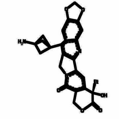 CC[C@@]1(O)C(=O)OCc2c1cc1n(c2=O)Cc2c-1nc1cc3c(cc1c2C12CC(N)(C1)C2)OCO3